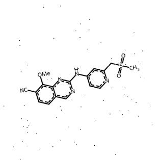 COc1c(C#N)ccc2cnc(Nc3ccnc(CS(C)(=O)=O)c3)nc12